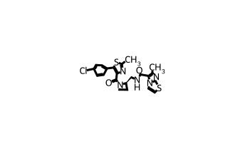 Cc1nc(C(=O)N2CC[C@@H]2CNC(=O)c2c(C)nc3sccn23)c(-c2ccc(Cl)cc2)s1